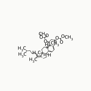 COC(=O)O[C@@H]1CC2=CC=C3[C@@H]4CC[C@H]([C@H](C)CCCC(C)C)[C@@]4(C)CC[C@@H]3[C@@]2(C)[C@@H](OC(=O)OC)C1